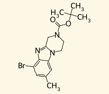 Cc1cc(Br)c2nc3n(c2c1)CCN(C(=O)OC(C)(C)C)C3